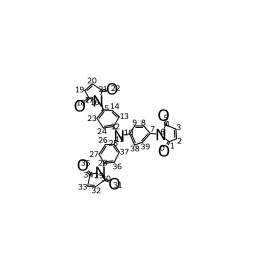 O=C1C=CC(=O)N1c1ccc(N(c2ccc(N3C(=O)C=CC3=O)cc2)c2ccc(N3C(=O)C=CC3=O)cc2)cc1